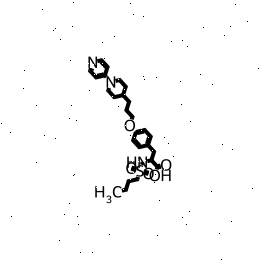 CCCCS(=O)(=O)NC(Cc1ccc(OCCCC2CCN(c3ccncc3)CC2)cc1)C(=O)O